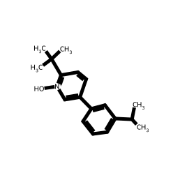 CC(C)c1cccc(-c2ccc(C(C)(C)C)[n+](O)c2)c1